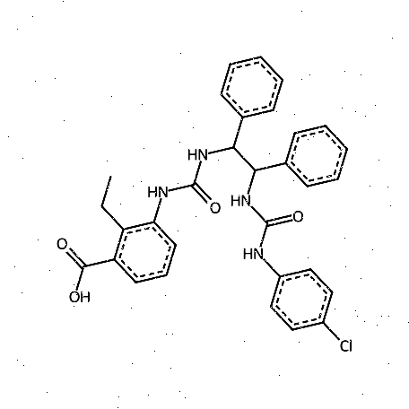 CCc1c(NC(=O)NC(c2ccccc2)C(NC(=O)Nc2ccc(Cl)cc2)c2ccccc2)cccc1C(=O)O